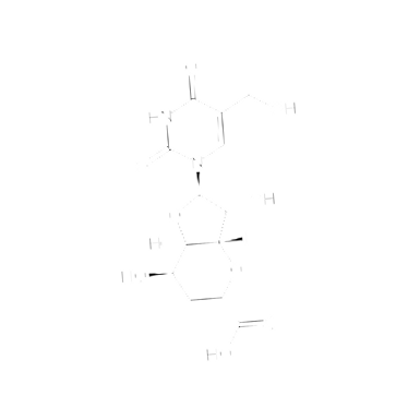 O=C(O)[C@@H]1C[C@@H](O)[C@H]2O[C@@H](n3cc(CO)c(=O)[nH]c3=O)[C@H](O)[C@@H]2O1